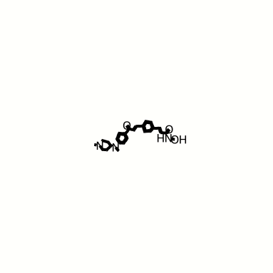 CN1CCC(N(C)c2ccc(C(=O)C=Cc3ccc(C=CC(=O)NO)cc3)cc2)CC1